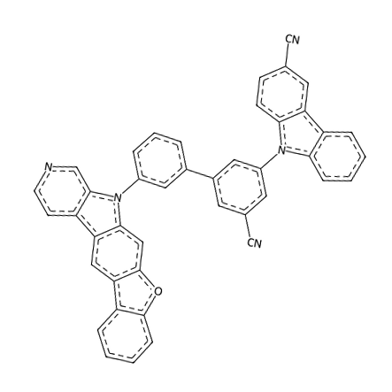 N#Cc1cc(-c2cccc(-n3c4cnccc4c4cc5c(cc43)oc3ccccc35)c2)cc(-n2c3ccccc3c3cc(C#N)ccc32)c1